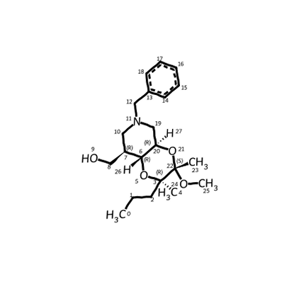 CCC[C@@]1(C)O[C@@H]2[C@@H](CO)CN(Cc3ccccc3)C[C@H]2O[C@]1(C)OC